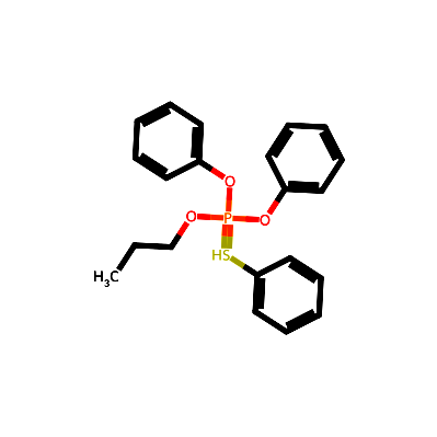 CCCOP(Oc1ccccc1)(Oc1ccccc1)=[SH]c1ccccc1